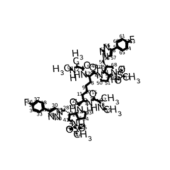 CN[C@@H](C)C(=O)NC(CCCCC(NC(=O)[C@H](C)NC)C(=O)N1CC[C@@H]2[C@H]1[C@@H](Cn1cc(-c3ccc(F)cc3)nn1)CN2S(C)(=O)=O)C(=O)N1CC[C@@H]2[C@H]1[C@@H](Cn1cc(-c3ccc(F)cc3)nn1)CN2S(C)(=O)=O